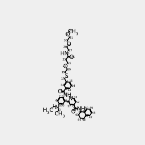 CCN(CC)c1ccc(NC(=O)c2cccc(CSCCOCCC(=O)NCCOCCOC)c2)c(-c2cc(C(=O)NC3CCCc4ccccc43)ccn2)c1